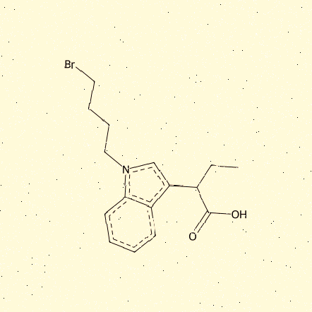 CCC(C(=O)O)c1cn(CCCCBr)c2ccccc12